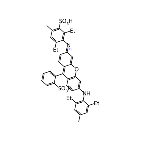 CCc1cc(C)c(S(=O)(=O)O)c(CC)c1/N=c1\ccc2c(-c3ccccc3S(=O)(=O)O)c3ccc(Nc4c(CC)cc(C)cc4CC)cc3oc-2c1